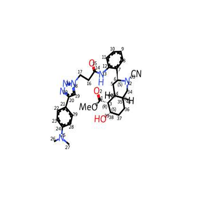 COC(=O)[C@@H]1[C@H]2C[C@@H](c3ccccc3NC(=O)CCn3cc(-c4ccc(N(C)C)cc4)nn3)N(C#N)C[C@@H]2CC[C@@H]1O